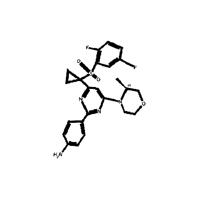 C[C@H]1COCCN1c1cc(C2(S(=O)(=O)c3cc(F)ccc3F)CC2)nc(-c2ccc(N)cc2)n1